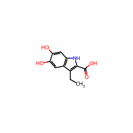 CCc1c(C(=O)O)[nH]c2cc(O)c(O)cc12